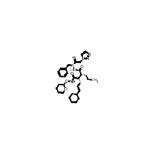 CCC[C@@H](C(=O)NN(Cc1ccccc1)C(=O)Cn1ccnn1)[C@H](CCCC1CCCCC1)C(=O)NOC1CCCCO1